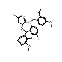 COc1ccc(CN2C(=O)C(CC(=O)O)OC(c3cccc(OC)c3Cl)c3cc(Cl)ccc32)c(OC)c1